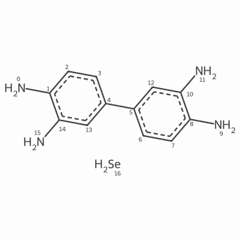 Nc1ccc(-c2ccc(N)c(N)c2)cc1N.[SeH2]